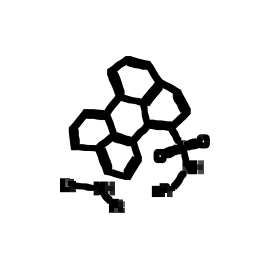 CCCNS(=O)(=O)c1ccc2cccc3c4cccc5cccc(c1c23)c54.CCNCC